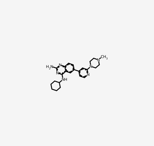 CN1CCN(c2cc(-c3ccc4nc(N)nc(NC5CCCCC5)c4c3)ccn2)CC1